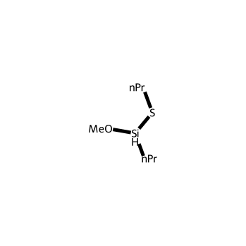 CCCS[SiH](CCC)OC